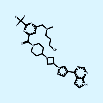 CN(CCCO)Cc1cc(C(=O)N2CCC(N3CC(n4cc(-c5ncnc6[nH]ccc56)cn4)C3)CC2)nc(C(F)(F)F)n1